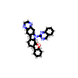 c1ccc2nc(-n3c4cc5nccnc5cc4c4ccc5c6ccccc6oc5c43)ncc2c1